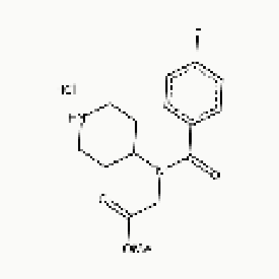 COC(=O)CN(C(=O)c1ccc(F)cc1)C1CCNCC1.Cl